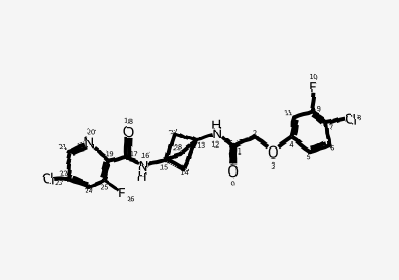 O=C(COc1ccc(Cl)c(F)c1)NC12CC(NC(=O)c3ncc(Cl)cc3F)(C1)C2